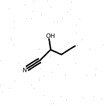 [CH2]CC(O)C#N